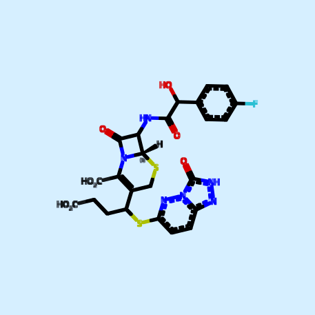 O=C(O)CCC(Sc1ccc2n[nH]c(=O)n2n1)C1=C(C(=O)O)N2C(=O)C(NC(=O)C(O)c3ccc(F)cc3)[C@@H]2SC1